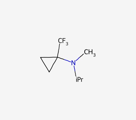 CC(C)N(C)C1(C(F)(F)F)CC1